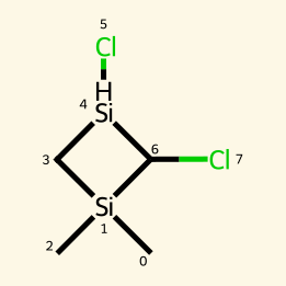 C[Si]1(C)C[SiH](Cl)C1Cl